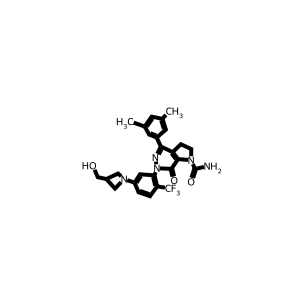 Cc1cc(C)cc(-c2nn(-c3cc(N4CC(CO)C4)ccc3C(F)(F)F)c(=O)c3c2CCN3C(N)=O)c1